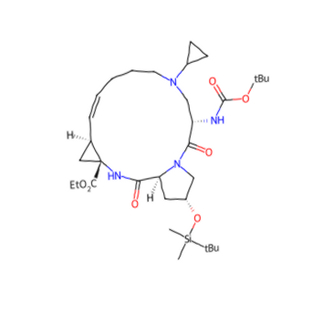 CCOC(=O)[C@@]12C[C@H]1/C=C\CCCN(C1CC1)C[C@H](NC(=O)OC(C)(C)C)C(=O)N1C[C@H](O[Si](C)(C)C(C)(C)C)C[C@H]1C(=O)N2